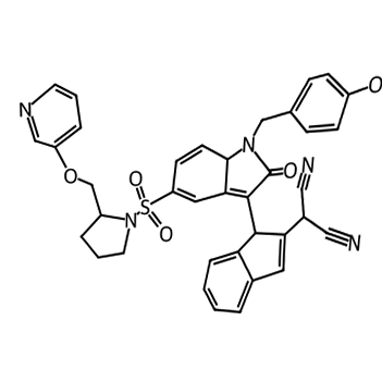 N#CC(C#N)C1=Cc2ccccc2C1C1=C2C=C(S(=O)(=O)N3CCCC3COc3cccnc3)C=CC2N(Cc2ccc(O)cc2)C1=O